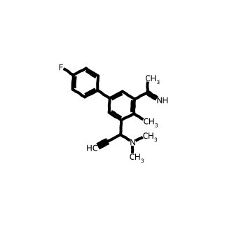 C#CC(c1cc(-c2ccc(F)cc2)cc(C(C)=N)c1C)N(C)C